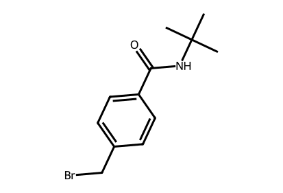 CC(C)(C)NC(=O)c1ccc(CBr)cc1